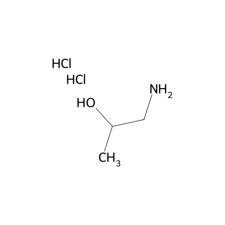 CC(O)CN.Cl.Cl